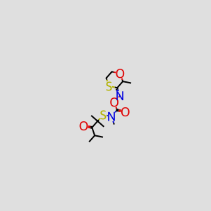 CC(C)C(=O)C(C)(C)SN(C)C(=O)ON=C1SCCOC1C